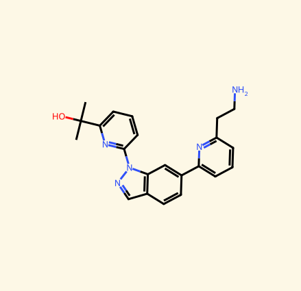 CC(C)(O)c1cccc(-n2ncc3ccc(-c4cccc(CCN)n4)cc32)n1